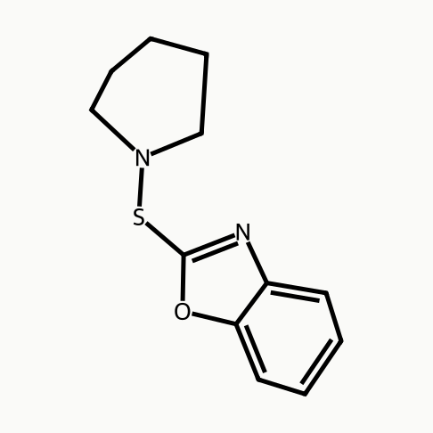 c1ccc2oc(SN3CCCCC3)nc2c1